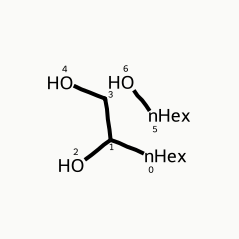 CCCCCCC(O)CO.CCCCCCO